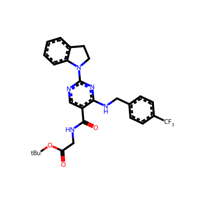 CC(C)(C)OC(=O)CNC(=O)c1cnc(N2CCc3ccccc32)nc1NCc1ccc(C(F)(F)F)cc1